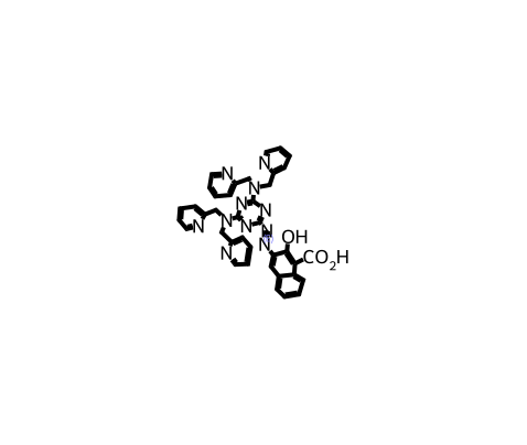 O=C(O)c1c(O)c(/N=N/c2nc(N(Cc3ccccn3)Cc3ccccn3)nc(N(Cc3ccccn3)Cc3ccccn3)n2)cc2ccccc12